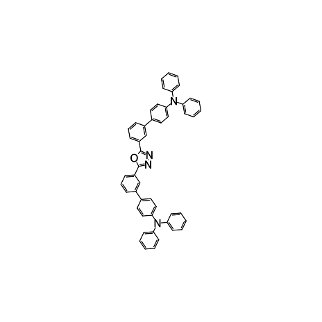 c1ccc(N(c2ccccc2)c2ccc(-c3cccc(-c4nnc(-c5cccc(-c6ccc(N(c7ccccc7)c7ccccc7)cc6)c5)o4)c3)cc2)cc1